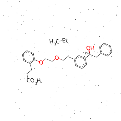 CCC.O=C(O)CCc1ccccc1OCCOCCc1cccc([C@@H](O)Cc2ccccc2)c1